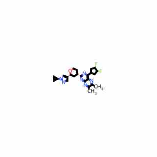 Cc1nc2nc([C@H]3CCO[C@@H](c4cnn(C5CC5)c4)C3)nc(C3C[C@@H](F)[C@@H](F)C3)c2nc1C